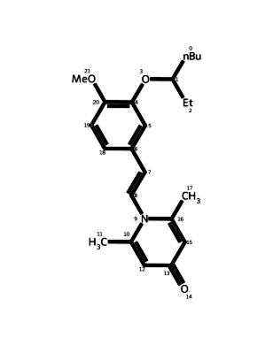 CCCCC(CC)Oc1cc(/C=C/n2c(C)cc(=O)cc2C)ccc1OC